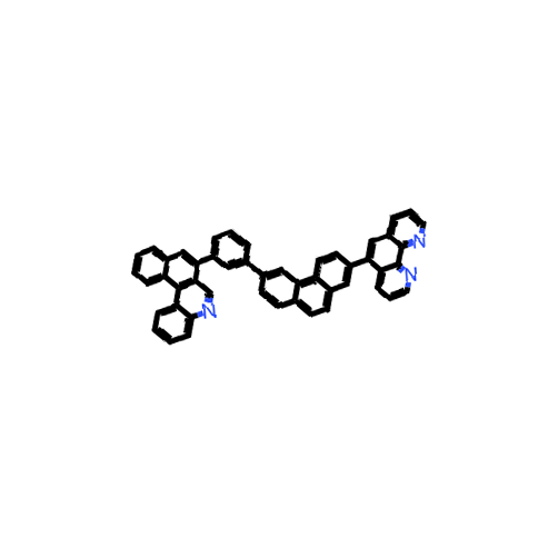 c1cc(-c2ccc3ccc4cc(-c5cc6cccnc6c6ncccc56)ccc4c3c2)cc(-c2cc3ccccc3c3c2cnc2ccccc23)c1